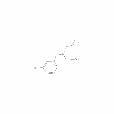 C=CCN(CCCCCCCCC)Cc1cccc(Br)c1